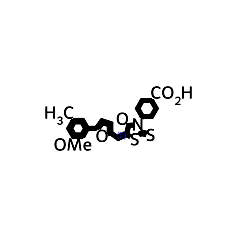 COc1ccc(C)cc1-c1ccc(/C=C2/SC(=S)N(C3CCC(C(=O)O)CC3)C2=O)o1